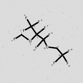 FCOC(F)(C(F)(F)F)C(F)(F)OCC(F)(F)F